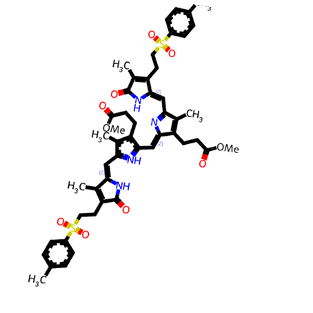 COC(=O)CCC1=C(C)C(/C=C2\NC(=O)C(C)=C2CCS(=O)(=O)c2ccc(C)cc2)=NC/1=C\c1[nH]c(/C=C2\NC(=O)C(CCS(=O)(=O)c3ccc(C)cc3)=C2C)c(C)c1CCC(=O)OC